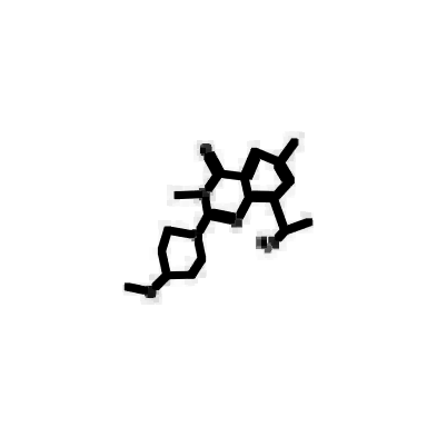 COC1CCN(c2nc3c(C(C)N)cc(C)cc3c(=O)n2C)CC1